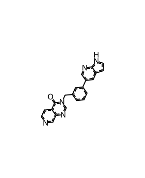 O=c1c2ccncc2ncn1Cc1cccc(-c2cnc3[nH]ccc3c2)c1